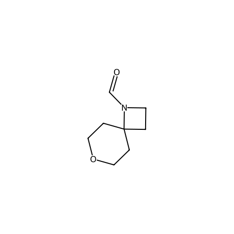 O=CN1CCC12CCOCC2